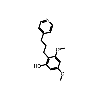 COc1cc(O)c(CCCc2ccncc2)c(OC)c1